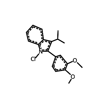 COc1ccc(-c2c(C(C)C)c3ccccc3n2Cl)cc1OC